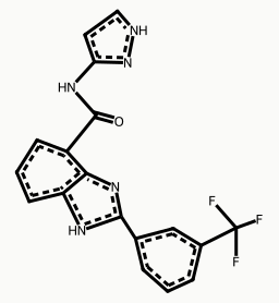 O=C(Nc1cc[nH]n1)c1cccc2[nH]c(-c3cccc(C(F)(F)F)c3)nc12